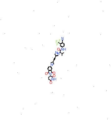 CC(C)C(C(=O)Nc1ccc(C#N)c(C(F)(F)F)c1)n1cc(C#CC2CN(c3ccc4c(c3)C(=O)N(C3CCC(=O)NC3=O)C4=O)C2)cn1